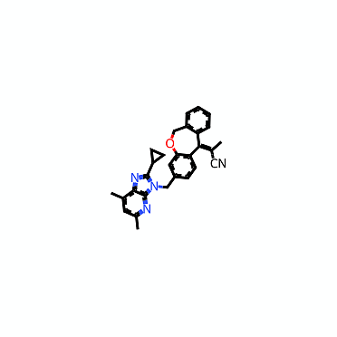 CC(C#N)=C1c2ccccc2COc2cc(Cn3c(C4CC4)nc4c(C)cc(C)nc43)ccc21